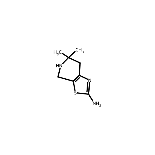 CC1(C)Cc2nc(N)sc2CN1